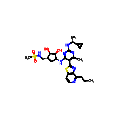 CCCc1nccc2sc(-c3c(C)nc(N[C@H](C)C4CC4)nc3N[C@@H]3C[C@H](CNS(C)(=O)=O)[C@@H](O)[C@H]3O)nc12